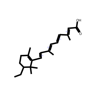 CCC1CCC(C)=C(/C=C/C(C)=C/C=C/C(C)=C/C(=O)O)C1(C)C